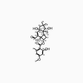 COc1cc(C)c(C(=O)O[C@@H]2C[C@]3(C)[C@H]4[C@@H](O)C(C)(C)C[C@@]4(O)C=C(C=O)[C@]23O)c(O)c1